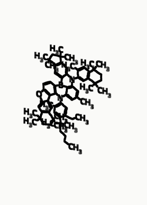 CCCCC(C)(C)c1cc(C)c(N2c3cc(C)cc4c3B(c3cc5c(cc3N4c3cc4c(cc3C)C(C)(C)CCC4(C)C)C(C)(C)CC5(C)C)c3ccc4oc5cc6c(cc5c4c32)C(C)(C)CCC6(C)C)cc1CC